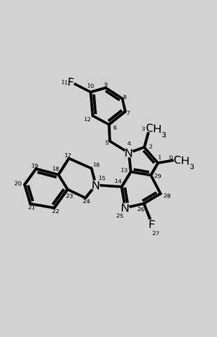 Cc1c(C)n(Cc2cccc(F)c2)c2c(N3CCc4ccccc4C3)nc(F)cc12